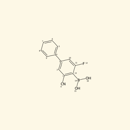 N#Cc1cc(-c2ccccc2)cc(F)c1B(O)O